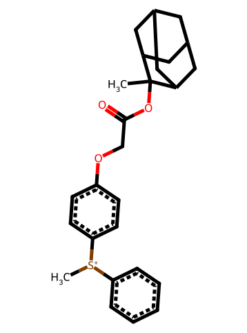 C[S+](c1ccccc1)c1ccc(OCC(=O)OC2(C)C3CC4CC(C3)CC2C4)cc1